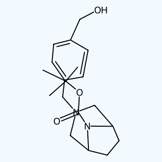 CC(C)(C)OC(=O)N1C2CCC1CN(Cc1ccc(CO)cc1)C2